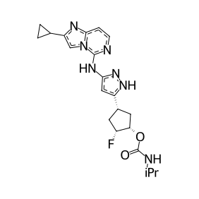 CC(C)NC(=O)O[C@H]1C[C@@H](c2cc(Nc3nccc4nc(C5CC5)cn34)n[nH]2)C[C@H]1F